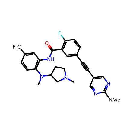 CNc1ncc(C#Cc2ccc(F)c(C(=O)Nc3cc(C(F)(F)F)ccc3N(C)C3CCN(C)C3)c2)cn1